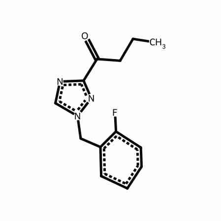 CCCC(=O)c1ncn(Cc2ccccc2F)n1